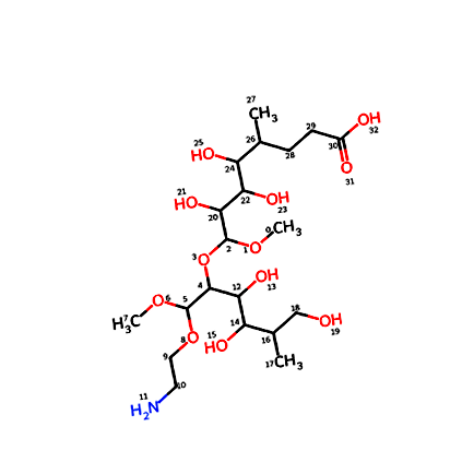 COC(OC(C(OC)OCCN)C(O)C(O)C(C)CO)C(O)C(O)C(O)C(C)CCC(=O)O